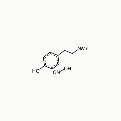 CNCCc1ccc(O)cc1.O=NO